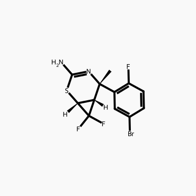 C[C@]1(c2cc(Br)ccc2F)N=C(N)S[C@@H]2[C@H]1C2(F)F